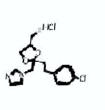 Cl.FC[C@@H]1CO[C@@](CCc2ccc(Cl)cc2)(Cn2ccnc2)O1